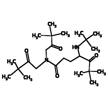 CC(C)(C)NC(CCC(=O)N(CC(=O)C(C)(C)C)CC(=O)C(C)(C)C)C(=O)C(C)(C)C